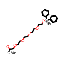 COC(=O)COCCOCCOCCOCCO[Si](c1ccccc1)(c1ccccc1)C(C)(C)C